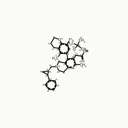 Cc1nc2c(c(-c3cc(F)c4c(c3C)CCCO4)c1[C@H](OC(C)(C)C)C(=O)O)CN(C[C@@H]1CC1c1ccccc1)CC2